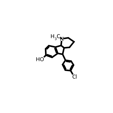 CN1CCCC2C(c3ccc(Cl)cc3)c3cc(O)ccc3C21